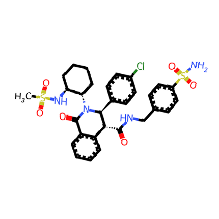 CS(=O)(=O)N[C@H]1CCCC[C@@H]1N1C(=O)c2ccccc2[C@@H](C(=O)NCc2ccc(S(N)(=O)=O)cc2)[C@@H]1c1ccc(Cl)cc1